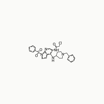 O=C(CCl)Nc1cnc2c(ccn2S(=O)(=O)c2ccccc2)c1NC1CCN(Cc2ccccc2)CC1